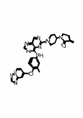 C=C1CCN(C2CCN(c3ncc4ncnc(Nc5ccc(Oc6ccn7ncnc7c6)c(C)c5)c4n3)CC2)C1=O